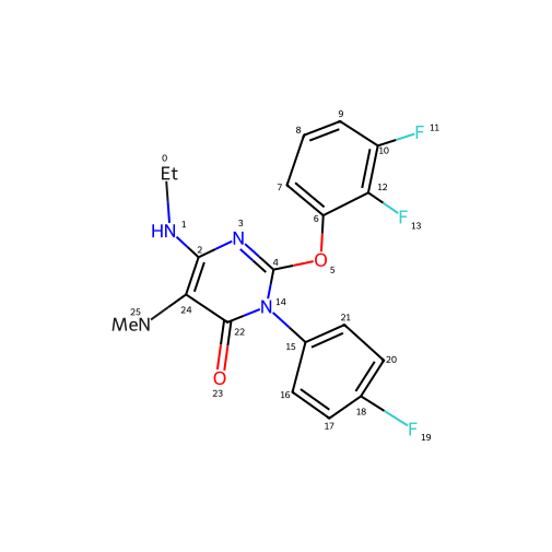 CCNc1nc(Oc2cccc(F)c2F)n(-c2ccc(F)cc2)c(=O)c1NC